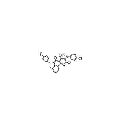 O=c1oc2c(c(O)c1Sc1ccc(Cl)cc1)c(=O)n1c3c(cccc23)CC1c1ccc(F)cc1